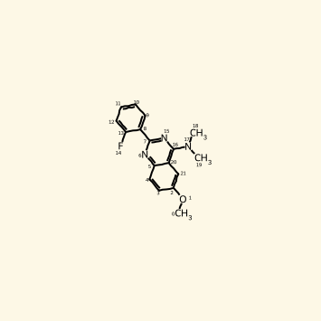 COc1ccc2nc(-c3ccccc3F)nc(N(C)C)c2c1